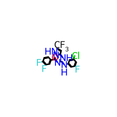 O=C(/N=C(/Nc1cc(F)cc(Cl)c1)Nc1cc(C(F)(F)F)[nH]n1)c1ccc(F)c(F)c1